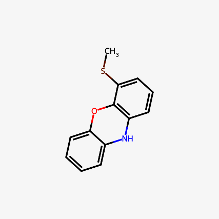 CSc1cccc2c1Oc1ccccc1N2